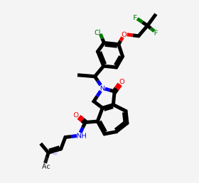 CC(=O)/C(C)=C/CNC(=O)C1=CC=C=CC2=C1CN(C(C)c1ccc(OCC(C)(F)F)c(Cl)c1)C2=O